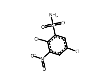 NS(=O)(=O)c1cc(Cl)cc([N+](=O)[O-])c1Cl